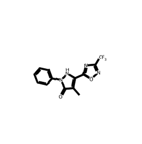 Cc1c(-c2nc(C(F)(F)F)no2)[nH]n(-c2ccccc2)c1=O